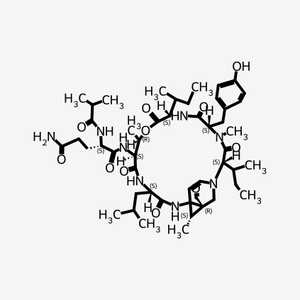 CCC(C)[C@@H]1NC(=O)[C@H](Cc2ccc(O)cc2)N(C)C(=O)[C@H](C(C)CC)N2C=CC3(NC(=O)[C@H](CC(C)C)NC(=O)[C@@H](NC(=O)[C@H](CCC(N)=O)NC(=O)C(C)C)[C@@H](C)OC1=O)[C@@H](C)[C@@]3(C=O)C2